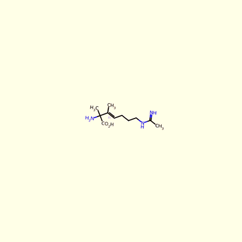 CC(=N)NCCC/C=C(\C)C(C)(N)C(=O)O